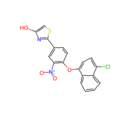 O=[N+]([O-])c1cc(-c2nc(O)cs2)ccc1Oc1ccc(Cl)c2ccccc12